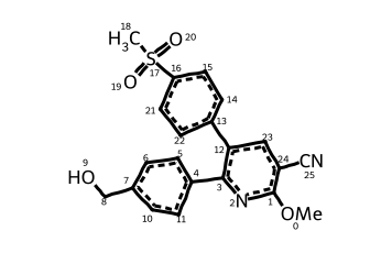 COc1nc(-c2ccc(CO)cc2)c(-c2ccc(S(C)(=O)=O)cc2)cc1C#N